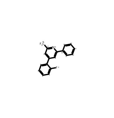 Fc1ccccc1-c1cc(-c2ccccc2)nc(C(F)(F)F)c1